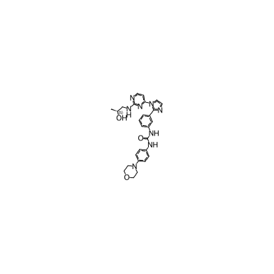 C[C@H](O)CNc1nccc(-n2ccnc2-c2cccc(NC(=O)Nc3ccc(N4CCOCC4)cc3)c2)n1